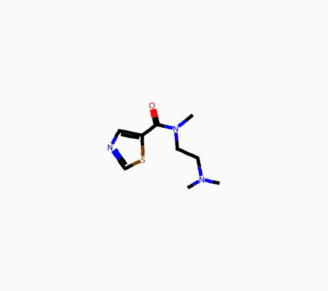 CN(C)CCN(C)C(=O)c1cncs1